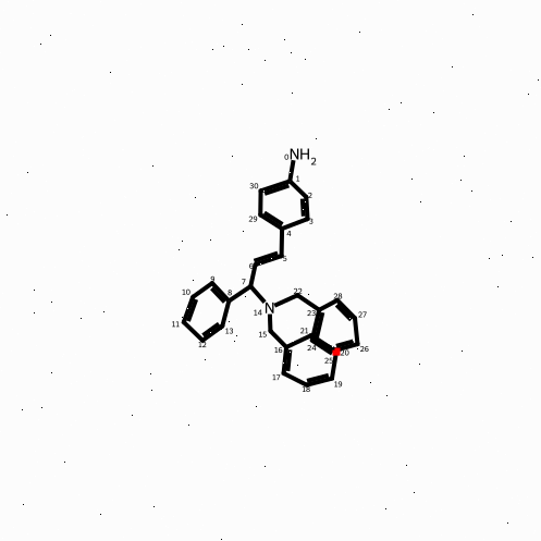 Nc1ccc(C=CC(c2ccccc2)N(Cc2ccccc2)Cc2ccccc2)cc1